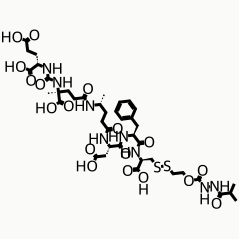 CC(C)C(=O)NNC(=O)OCCSSC[C@H](NC(=O)[C@H](Cc1ccccc1)NC(=O)[C@H](CC(=O)O)NC(=O)CC[C@@H](C)NC(=O)CC[C@](C)(NC(=O)N[C@@H](CCC(=O)O)C(=O)O)C(=O)O)C(=O)O